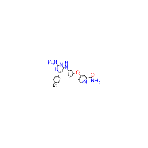 CCc1ccc(-c2cc(Nc3cccc(Oc4ccnc(C(N)=O)c4)c3)nc(N)n2)cc1